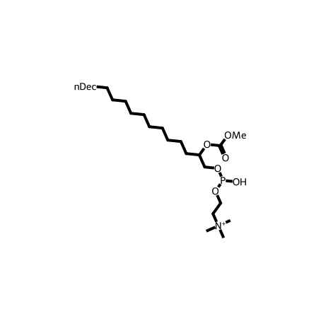 CCCCCCCCCCCCCCCCCCCCC(COP(O)OCC[N+](C)(C)C)OC(=O)OC